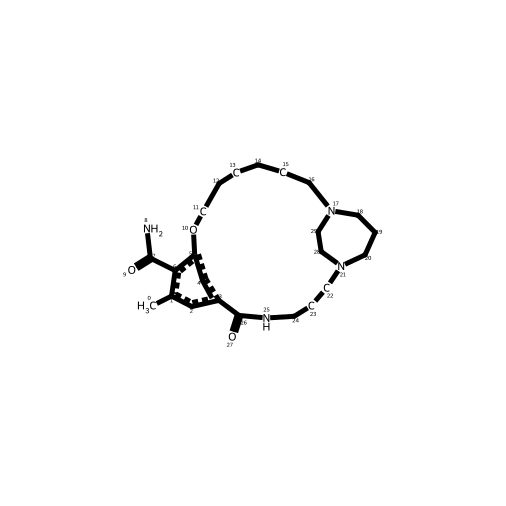 Cc1cc2cc(c1C(N)=O)OCCCCCCN1CCCN(CCCNC2=O)CC1